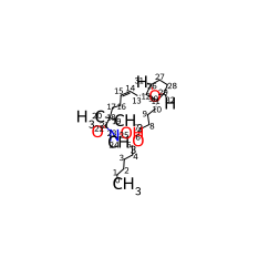 CCCCCCOCCCC[C@@H]1[C@H](C/C=C\CCC(C)(C)C(=O)N(C)O)[C@@H]2CC[C@H]1O2